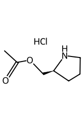 CC(=O)OC[C@@H]1CCCN1.Cl